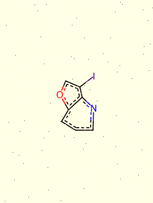 Ic1coc2cccnc12